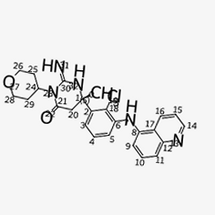 C[C@@]1(c2cccc(Nc3cccc4ncccc34)c2Cl)CC(=O)N(C2CCOCC2)C(=N)N1